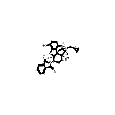 Cc1ccc(O)c2c1[C@]13CC4[C@@H](N4CC4CC4)[C@]1(O)CC[C@@H](N1C(=O)c4ccccc4C1=O)[C@@H]3O2